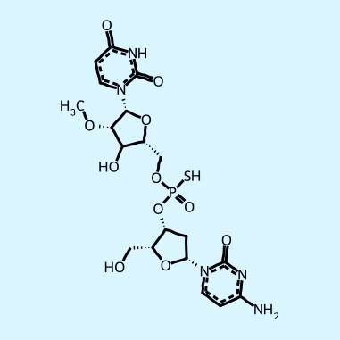 CO[C@H]1C(O)[C@@H](COP(=O)(S)O[C@@H]2C[C@H](n3ccc(N)nc3=O)O[C@@H]2CO)O[C@H]1n1ccc(=O)[nH]c1=O